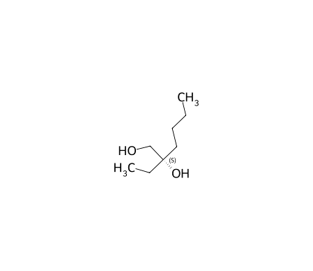 CCCC[C@@](O)(CC)CO